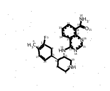 CC1=C(F)CC([C@@H]2CCNC[C@H]2Nc2ncnc3c(C(N)=O)cccc23)C=C1